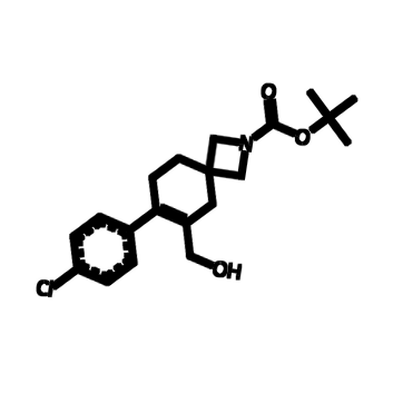 CC(C)(C)OC(=O)N1CC2(CCC(c3ccc(Cl)cc3)=C(CO)C2)C1